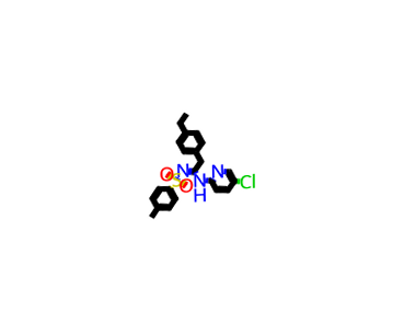 CCc1ccc(CC(=NS(=O)(=O)c2ccc(C)cc2)Nc2ccc(Cl)cn2)cc1